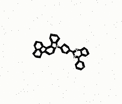 c1ccc(-c2nc(-c3ccc(-n4c5ccccc5c5c6c(ccc54)-c4cccc5cccc-6c45)cc3)nc3ccccc23)cc1